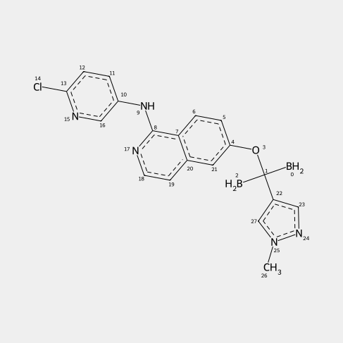 BC(B)(Oc1ccc2c(Nc3ccc(Cl)nc3)nccc2c1)c1cnn(C)c1